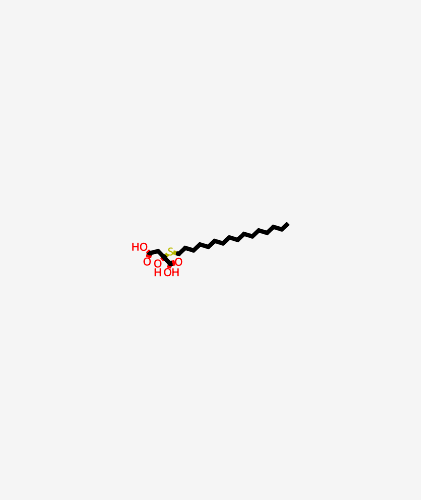 CCCCCCCCCCCCCCCCSC(O)(CC(=O)O)C(=O)O